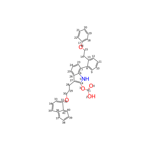 O=C(O)Oc1[nH]c2c(-c3ccccc3CCOc3ccccc3)cccc2c1CCCOc1cccc2ccccc12